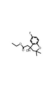 CCOC(=O)CC1(O)CC(C)(C)Oc2ccc(F)cc21